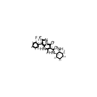 Cc1[nH]c2c(-c3ccccc3)c(C(F)(F)F)nn2c(=O)c1C(=O)N[C@@H]1CCCC[C@H]1N